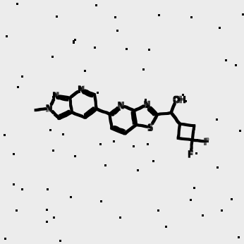 Cn1cc2cc(-c3ccc4sc(C(O)C5CC(F)(F)C5)nc4n3)cnc2n1